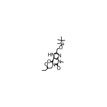 CCC(=O)Cn1c(=O)c2[nH]c(CO[Si](C)(C)C(C)(C)C)nc2n(C)c1=O